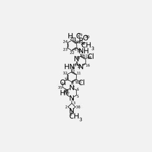 CN1CC(N2CCN3c4c(Cl)cc(Nc5ncc(Cl)c(Nc6ccccc6P(C)(C)=O)n5)cc4OC[C@H]3C2)C1